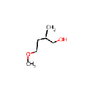 COCC[C@@H](C)CO